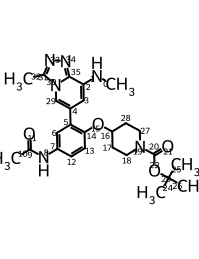 CNc1cc(-c2cc(NC(C)=O)ccc2OC2CCN(C(=O)OC(C)(C)C)CC2)cn2c(C)nnc12